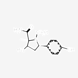 CC(C)(C)C1C[C@H](c2ccc(O)cc2)N(C(=O)O)[C@]1(C)C(N)=O